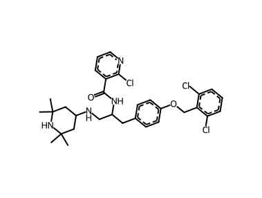 CC1(C)CC(NCC(Cc2ccc(OCc3c(Cl)cccc3Cl)cc2)NC(=O)c2cccnc2Cl)CC(C)(C)N1